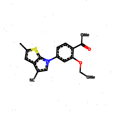 COCOc1cc(-n2cc(C#N)c3cc(C)sc32)ccc1C(=O)OC